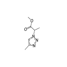 COC(=O)C(C)n1cc(C)nn1